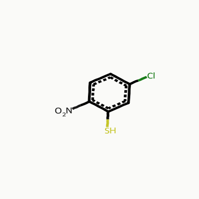 O=[N+]([O-])c1ccc(Cl)cc1S